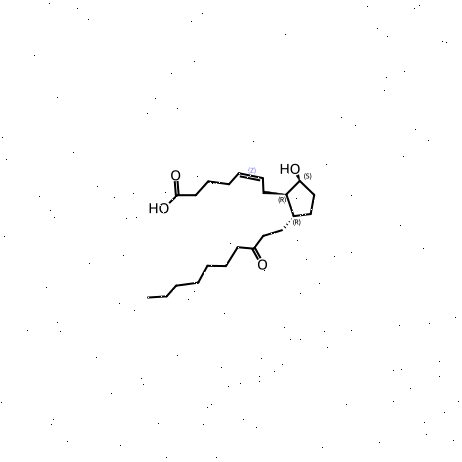 CCCCCCCC(=O)CC[C@H]1CC[C@H](O)[C@@H]1C/C=C\CCCC(=O)O